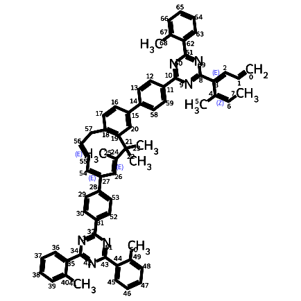 C=C/C=C(\C(C)=C/C)c1nc(-c2ccc(-c3ccc4c(c3)C(C)(C)/C(C)=C/C(c3ccc(-c5nc(-c6ccccc6C)nc(-c6ccccc6C)n5)cc3)=C\C=C\C4)cc2)nc(-c2ccccc2C)n1